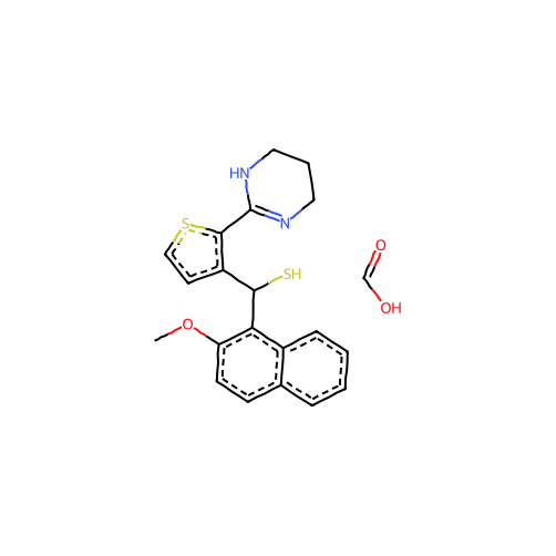 COc1ccc2ccccc2c1C(S)c1ccsc1C1=NCCCN1.O=CO